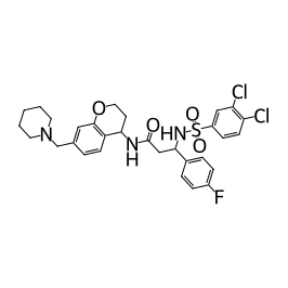 O=C(CC(NS(=O)(=O)c1ccc(Cl)c(Cl)c1)c1ccc(F)cc1)NC1CCOc2cc(CN3CCCCC3)ccc21